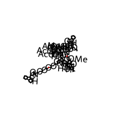 C=CCOC(=O)N1C[C@@H]2Cc3ccccc3CN2C(=O)c2cc(OC)c(OCCCCCOc3cc4c(cc3OC)C(=O)N3CC5(CC5)C[C@H]3[C@H](O)N4C(=O)OCc3ccc(NC(=O)[C@H](CO[C@@H]4O[C@H](C(=O)OC)[C@@H](OC(C)=O)[C@H](OC(C)=O)[C@H]4OC(C)=O)NC(=O)[C@@H](NC(C)=O)C(C)C)cc3NC(=O)CCOCCOCCOCCOCCNC(=O)OCC3c4ccccc4-c4ccccc43)cc21